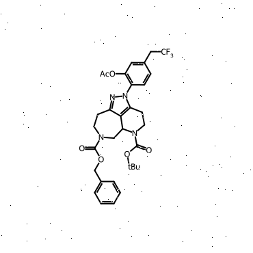 CC(=O)Oc1cc(CC(F)(F)F)ccc1-n1nc2c3c1CCN(C(=O)OC(C)(C)C)C3CN(C(=O)OCc1ccccc1)CC2